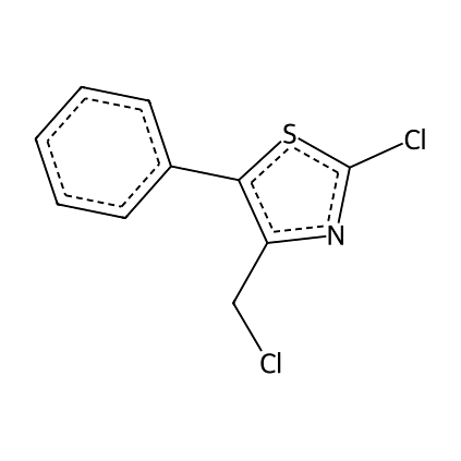 ClCc1nc(Cl)sc1-c1ccccc1